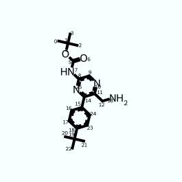 CC(C)(C)OC(=O)Nc1cnc(CN)c(-c2ccc(C(C)(C)C)cc2)n1